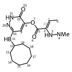 C/C=C(\NNC)C(=O)Oc1cc(BC2CCCCCCC2)n[nH]c1=O